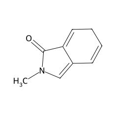 CN1C=C2C=CCC=C2C1=O